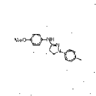 COc1ccc(NC2=NN(c3ccc(C)cc3)CC2)cc1